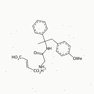 COc1ccc(CC(C)(NC(=O)CN)c2ccccc2)cc1.O=C(O)C=CC(=O)O